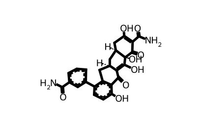 NC(=O)C1=C(O)C[C@@H]2C[C@@H]3Cc4c(-c5cccc(C(N)=O)c5)ccc(O)c4C(=O)C3=C(O)[C@]2(O)C1=O